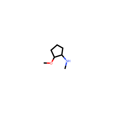 CNC1CCCC1OC